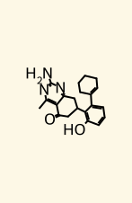 Cc1nc(N)nc2c1C(=O)CC(c1c(O)cccc1C1=CCCCC1)C2